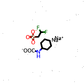 O=C([O-])NC1CCCCC1.O=S(=O)([O-])CC(F)F.[Na+].[Na+]